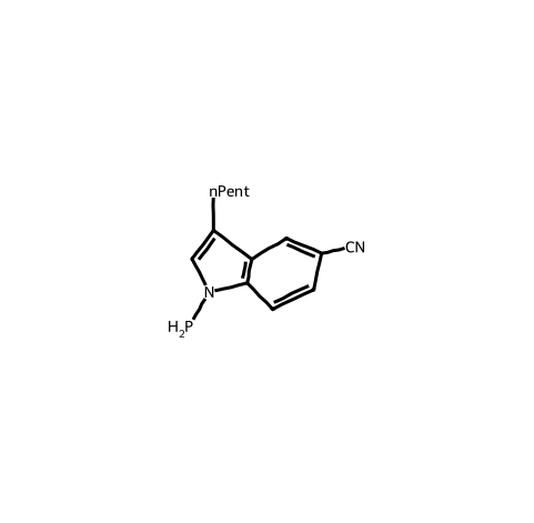 CCCCCc1cn(P)c2ccc(C#N)cc12